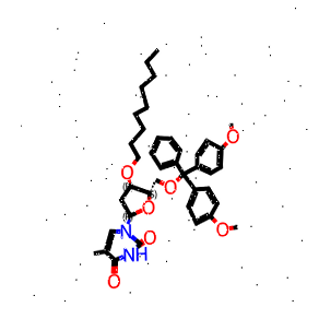 CCCCCCCCCO[C@@H]1C[C@H](n2cc(C)c(=O)[nH]c2=O)O[C@H]1COC(c1ccccc1)(c1ccc(OC)cc1)c1ccc(OC)cc1